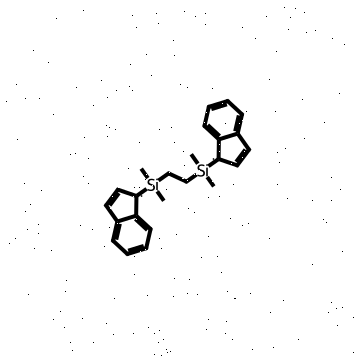 C[Si](C)(CC[Si](C)(C)[C]1C=Cc2ccccc21)[C]1C=Cc2ccccc21